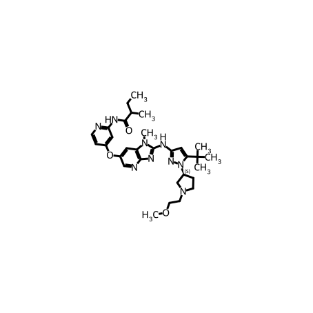 CCC(C)C(=O)Nc1cc(Oc2cnc3nc(Nc4cc(C(C)(C)C)n([C@H]5CCN(CCOC)C5)n4)n(C)c3c2)ccn1